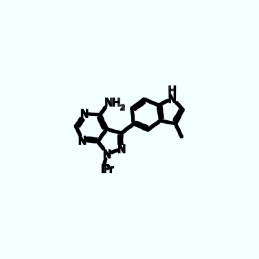 Cc1c[nH]c2ccc(-c3nn(C(C)C)c4ncnc(N)c34)cc12